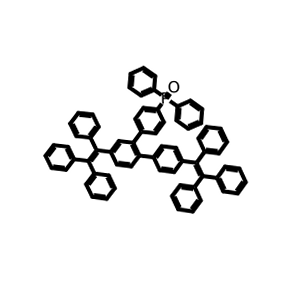 O=P(c1ccccc1)(c1ccccc1)c1ccc(-c2cc(C(=C(c3ccccc3)c3ccccc3)c3ccccc3)ccc2-c2ccc(C(=C(c3ccccc3)c3ccccc3)c3ccccc3)cc2)cc1